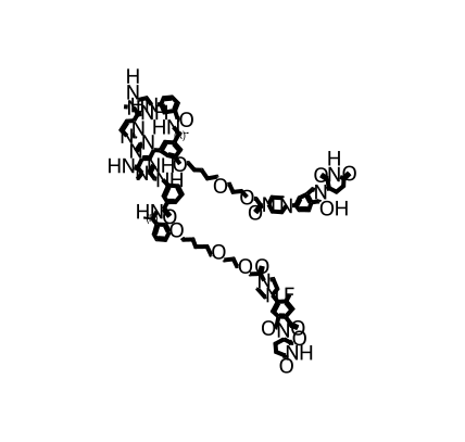 C[C@@H](NC(=O)c1cccc(NCC(=N)N(C)C(=N)c2cc(-c3cc(OCCCCCOCCCOCC(=O)N4CCN(c5ccc6c(c5)CN(C5CCC(=O)NC5=O)C6O)CC4)cc([C@@H](C)NC(=O)c4cccc(NCC(=N)N(C)C(=N)c5ccncn5)c4)c3)ncn2)c1)c1cccc(OCCCCCOCCCOCC(=O)N2CCN(c3cc4c(cc3F)C(=O)N(C3CCC(=O)NC3=O)C4=O)CC2)c1